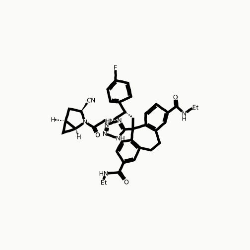 CCNC(=O)c1ccc2c(c1)CCc1cc(C(=O)NCC)ccc1C2(C[C@H](NCC(=O)N1[C@H](C#N)C[C@@H]2C[C@@H]21)c1ccc(F)cc1)c1nnn[nH]1